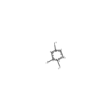 Ic1cnc(I)c(I)c1